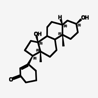 C[C@]12CC[C@H](O)C[C@H]1CCC1C2CC[C@]2(C)[C@@H](C3=CC(=O)CCC3)CC[C@]12O